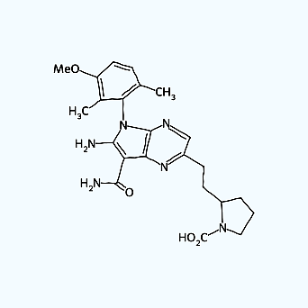 COc1ccc(C)c(-n2c(N)c(C(N)=O)c3nc(CCC4CCCN4C(=O)O)cnc32)c1C